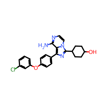 Nc1nccn2c(C3CCC(O)CC3)nc(-c3ccc(Oc4cccc(Cl)c4)cc3)c12